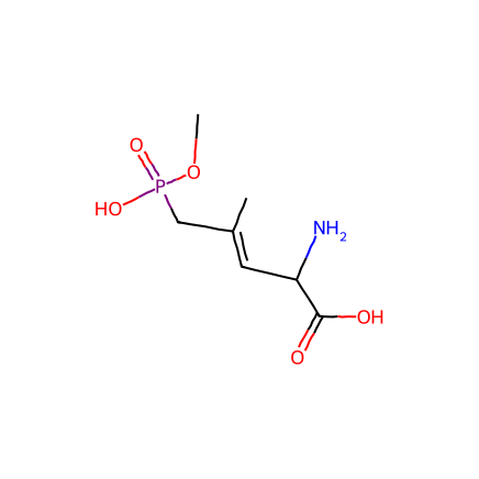 COP(=O)(O)C/C(C)=C/C(N)C(=O)O